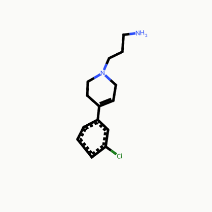 NCCCN1CC=C(c2cccc(Cl)c2)CC1